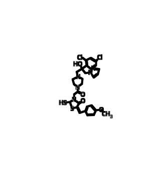 COc1ccc(C=C2SC(S)N(CC(=O)N3CCN(CC(O)(Cn4cccn4)c4ccc(Cl)cc4Cl)CC3)C2=O)cc1